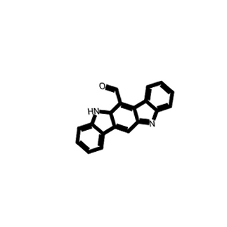 O=CC1=C2C(=Nc3ccccc32)C=C2c3ccccc3NC21